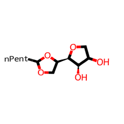 CCCCCC1OCC([C@H]2OCC(O)[C@H]2O)O1